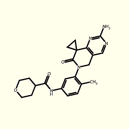 Cc1ccc(NC(=O)C2CCOCC2)cc1N1Cc2cnc(N)nc2C2(CC2)C1=O